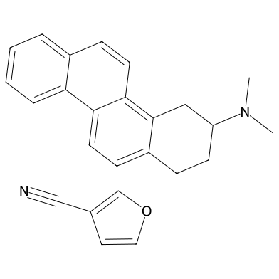 CN(C)C1CCc2ccc3c(ccc4ccccc43)c2C1.N#Cc1ccoc1